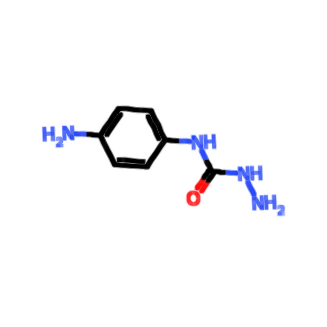 NNC(=O)Nc1ccc(N)cc1